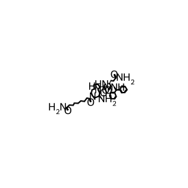 NC(=O)CCCCCCCC(=O)N1CC[C@H]2CC[C@@H](C(=O)N[C@@H](CCC(N)=O)C(=O)NC(c3ccccc3)c3ccccc3)N2C(=O)[C@@H](N)C1